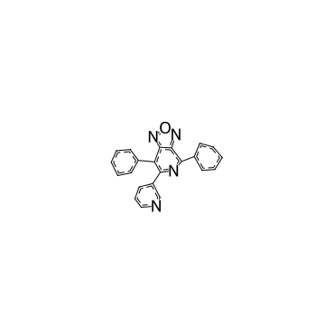 c1ccc(-c2nc(-c3cccnc3)c(-c3ccccc3)c3nonc23)cc1